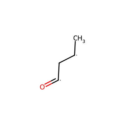 C[CH]C[C]=O